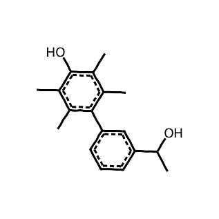 Cc1c(C)c(-c2cccc(C(C)O)c2)c(C)c(C)c1O